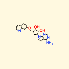 Nc1ncnc2c1ccn2[C@@H]1C[C@H](COc2ccc3cccnc3c2)[C@@H](O)[C@H]1O